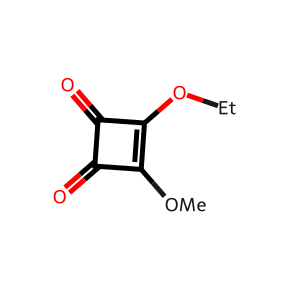 CCOc1c(OC)c(=O)c1=O